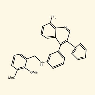 COc1cccc(CNc2cccc(-c3c(-c4ccccc4)cnc4c(C(F)(F)F)cccc34)c2)c1OC